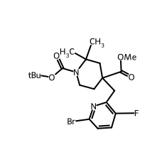 COC(=O)C1(Cc2nc(Br)ccc2F)CCN(C(=O)OC(C)(C)C)C(C)(C)C1